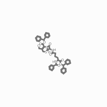 O=C(CCCC(NC(=O)c1ccccc1)C(=O)OC(c1ccccc1)c1ccccc1)NC1C(=O)N2C(C(=O)OC(c3ccccc3)c3ccccc3)=C(CCl)CS[C@@H]12